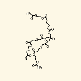 C=CC(=O)OCCOC(=O)CCSCC(=O)OCC(CC)(COC(=O)CSCCC(=O)OCCOC(=O)CCC)COC(=O)CSCCC(=O)OCCOC(=O)CCC